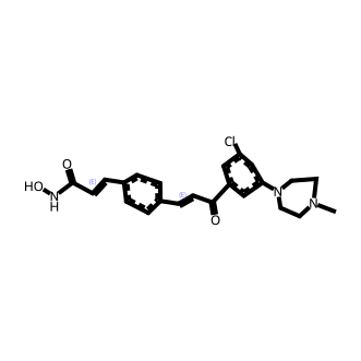 CN1CCN(c2cc(Cl)cc(C(=O)/C=C/c3ccc(/C=C/C(=O)NO)cc3)c2)CC1